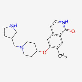 Cc1cc2c(=O)[nH]ccc2cc1OC1CCN(CC2CCNC2)CC1